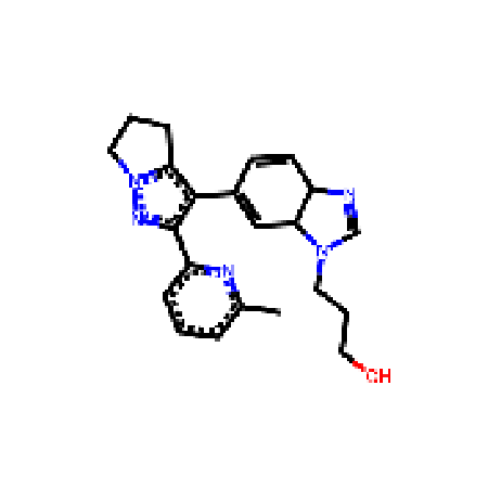 Cc1cccc(-c2nn3c(c2C2=CC4C(C=C2)N=CN4CCCO)CCC3)n1